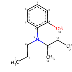 CCCN(c1ccccc1O)C(C)CC